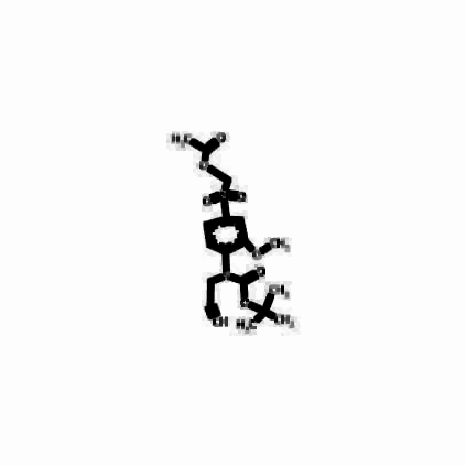 C#CCN(C(=O)OC(C)(C)C)c1ccc(S(=O)(=O)COC(C)=O)cc1OC